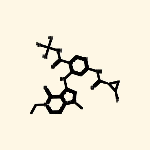 [2H]C([2H])([2H])NC(=O)c1cnc(NC(=O)[C@H]2C[C@H]2F)cc1Nc1cn(C)c2ccn(CC)c(=O)c12